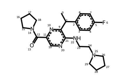 CC(c1ccc(F)cc1)c1nc(C(=O)N2CCCC2)cnc1NCCN1CCCC1